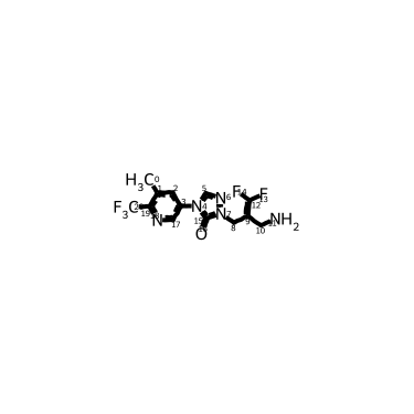 Cc1cc(-n2cnn(CC(CN)=C(F)F)c2=O)cnc1C(F)(F)F